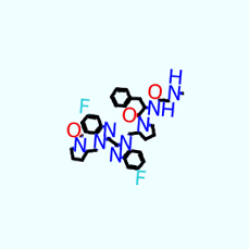 CNCC(=O)NC(Cc1ccccc1)C(=O)N1CCCC1Cn1c(-c2nc3cc(F)ccc3n2CC2CCCN2C=O)nc2cc(F)ccc21